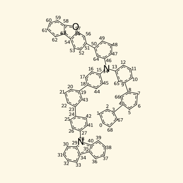 c1ccc(-c2cccc(-c3cccc(N(c4ccc(-c5cccc(-c6ccc(-n7c8ccccc8c8ccccc87)cc6)c5)cc4)c4cccc(-c5ccc6c(c5)oc5ccccc56)c4)c3)c2)cc1